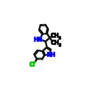 CC1(C)c2ccccc2NC1c1c[nH]c2cc(Cl)ccc12